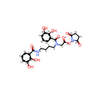 O=C(CN(CCCCNC(=O)c1cccc(O)c1O)C(=O)c1cccc(O)c1O)ON1C(=O)CCC1=O